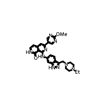 CCN1CCN(Cc2n[nH]c3cc(Nc4nc(-c5cnc(OC)nc5)cc5cc[nH]c(=O)c45)ccc23)CC1